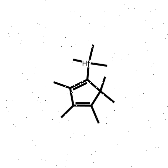 CC1=C(C)C(C)(C)[C]([Hf]([CH3])([CH3])[CH3])=C1C